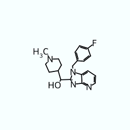 CN1CCC(C(O)c2nc3ncccc3n2Cc2ccc(F)cc2)CC1